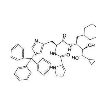 O=C(N[C@@H](Cc1cn(C(c2ccccc2)(c2ccccc2)c2ccccc2)cn1)C(=O)N[C@@H](CC1CCCCC1)[C@@H](O)[C@@H](O)C1CC1)c1ccc[nH]1